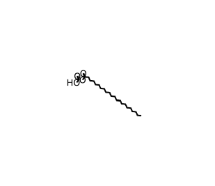 CCCCCCCCC=CCCCCCCCCCCCC(=O)OC(=O)O